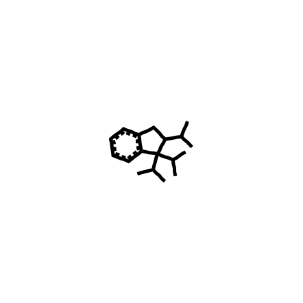 CC(C)C1Cc2ccccc2C1(C(C)C)C(C)C